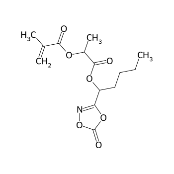 C=C(C)C(=O)OC(C)C(=O)OC(CCCC)c1noc(=O)o1